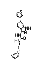 O=C(NCCCn1ccnc1)Nc1n[nH]c2cc(-c3ccsc3)ccc12